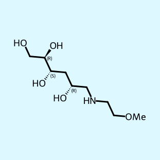 COCCNC[C@H](O)C[C@H](O)[C@H](O)CO